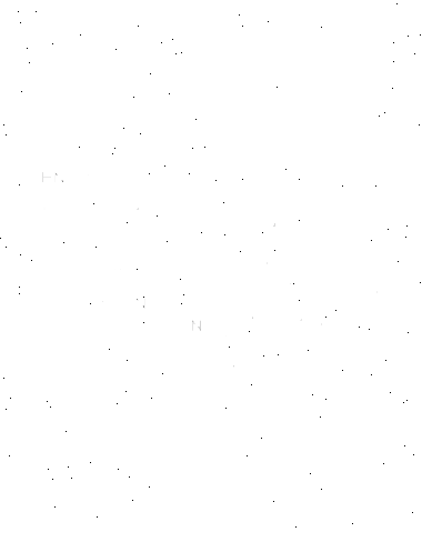 O=C(OCC1c2ccccc2-c2ccccc21)N1CCN(Cc2ccc3c(c2)CNC3)CC1